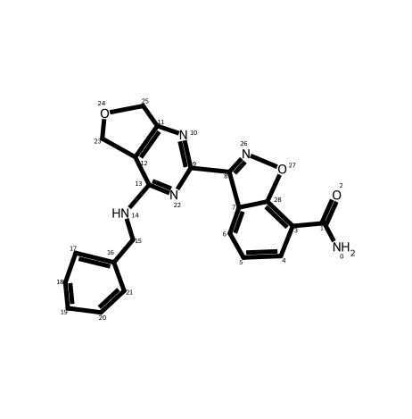 NC(=O)c1cccc2c(-c3nc4c(c(NCc5ccccc5)n3)COC4)noc12